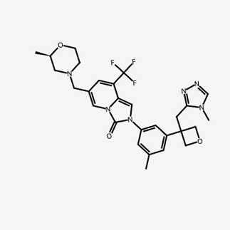 Cc1cc(-n2cc3c(C(F)(F)F)cc(CN4CCO[C@H](C)C4)cn3c2=O)cc(C2(Cc3nncn3C)COC2)c1